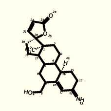 C[C@]12CCC3C(CC(CO)C4=CC(=N)CC[C@@H]43)C1CC[C@@]21C=CC(=O)O1